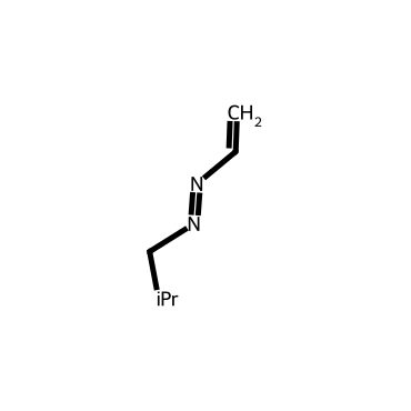 C=CN=NCC(C)C